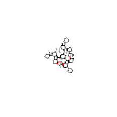 N#Cc1c(-n2c3ccccc3c3c4c(ccc32)sc2ccccc24)c(-c2cccnc2)c(-n2c3ccccc3c3c4c(ccc32)sc2ccccc24)c(-c2cccnc2)c1-n1c2ccccc2c2c3c(ccc21)sc1ccccc13